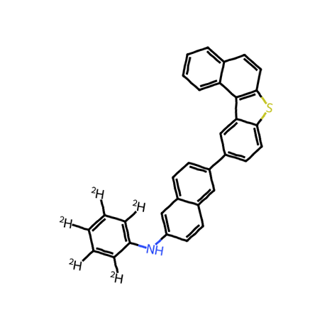 [2H]c1c([2H])c([2H])c(Nc2ccc3cc(-c4ccc5sc6ccc7ccccc7c6c5c4)ccc3c2)c([2H])c1[2H]